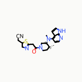 C[C@@H]1CCN(C(=O)CC2=NCC(CC#N)S2)C[C@@H]1N(C)c1ccnc2[nH]ccc12